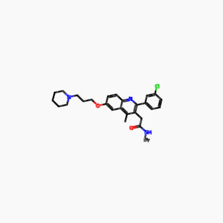 Cc1c(CC(=O)NC(C)C)c(-c2cccc(Cl)c2)nc2ccc(OCCCN3CCCCC3)cc12